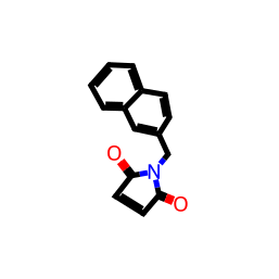 O=C1C=CC(=O)N1Cc1ccc2ccccc2c1